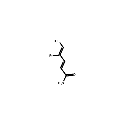 C/C=C(/C=C/C(N)=O)CC